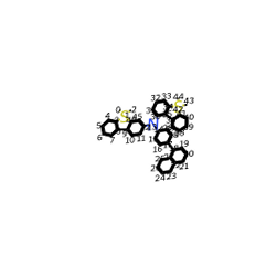 CS1(C)c2ccccc2-c2ccc(N(c3ccc(-c4cccc5ccccc45)cc3)c3cccc4c3-c3ccccc3S4(C)C)cc21